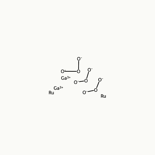 [Ga+3].[Ga+3].[O-]O[O-].[O-]O[O-].[O-]O[O-].[Ru].[Ru]